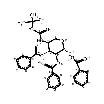 CC(C)(C)OC(=O)N[C@H]1CO[C@H](COC(=O)c2ccccc2)[C@@H](OC(=O)c2ccccc2)[C@@H]1OC(=O)c1ccccc1